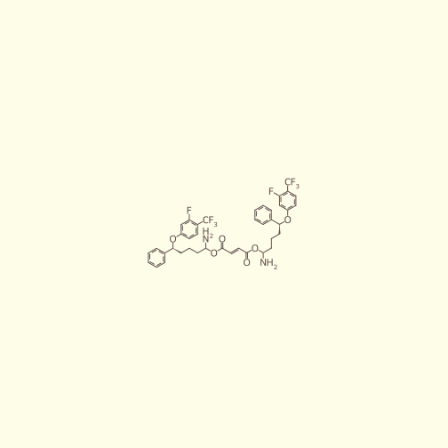 NC(CCC[C@H](Oc1ccc(C(F)(F)F)c(F)c1)c1ccccc1)OC(=O)/C=C/C(=O)OC(N)CCC[C@H](Oc1ccc(C(F)(F)F)c(F)c1)c1ccccc1